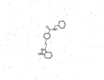 O=C(NCc1ccccc1)c1ccc(C=Cc2n[nH]c3ccccc23)cc1